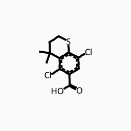 CC1(C)CCSc2c(Cl)cc(C(=O)O)c(Cl)c21